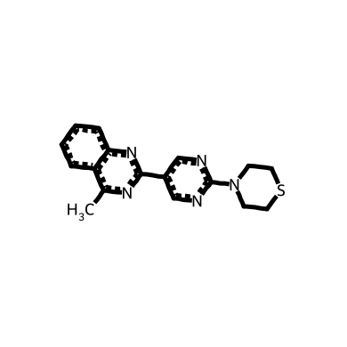 Cc1nc(-c2cnc(N3CCSCC3)nc2)nc2ccccc12